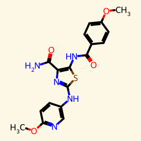 COc1ccc(C(=O)Nc2sc(Nc3ccc(OC)nc3)nc2C(N)=O)cc1